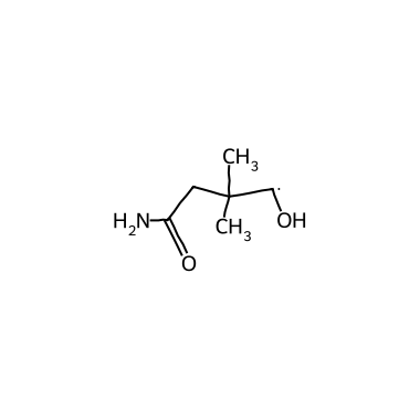 CC(C)([CH]O)CC(N)=O